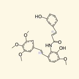 COc1ccc(/C=C/c2cc(OC)c(OC)c(OC)c2)c(NC(=O)/C=C/c2cccc(O)c2)c1O